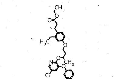 CCOC(=O)CCc1ccc(OCCC(C)Oc2ncc(Cl)cc2Oc2ccccc2)cc1CC